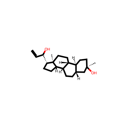 C=CC(O)[C@H]1CC[C@H]2[C@@H]3CC[C@H]4C[C@](C)(O)CC[C@@H]4[C@H]3CC[C@]12C